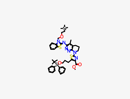 COC(=O)c1nc(N2CCCc3c2nnc(/N=c2\sc4ccccc4n2COCC[Si](C)(C)C)c3C)sc1CCCO[Si](c1ccccc1)(c1ccccc1)C(C)(C)C